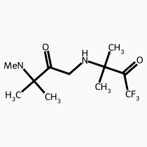 CNC(C)(C)C(=O)CNC(C)(C)C(=O)C(F)(F)F